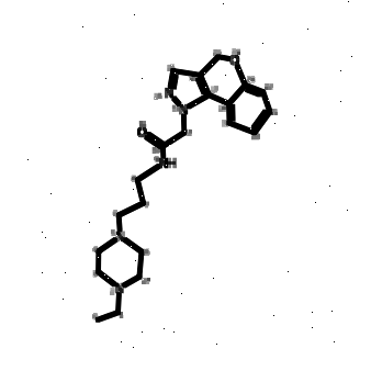 CCN1CCN(CCCNC(=O)Cn2ncc3c2-c2ccccc2OC3)CC1